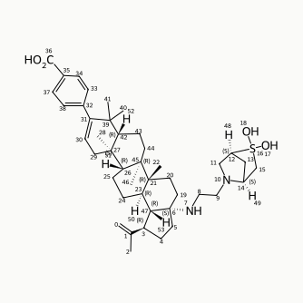 C=C(C)[C@@H]1CC[C@]2(NCCN3C[C@@H]4C[C@H]3CS4(O)O)CC[C@]3(C)[C@H](CC[C@@H]4[C@@]5(C)CC=C(c6ccc(C(=O)O)cc6)C(C)(C)[C@@H]5CC[C@]43C)[C@@H]12